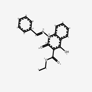 CCOC(=O)c1c(O)c2ccccc2n(/N=C/c2ccccc2)c1=O